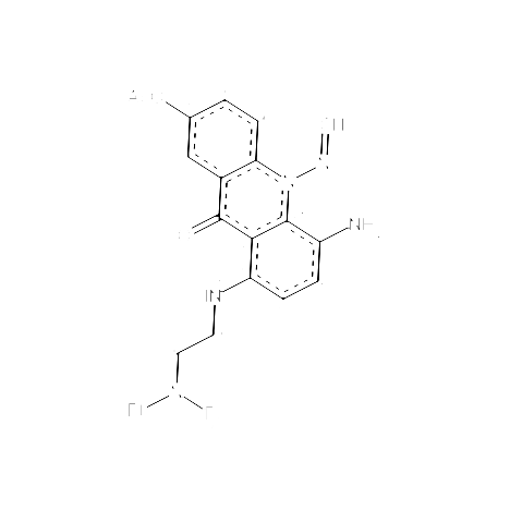 C=Nn1c2ccc(OC(C)=O)cc2c(=O)c2c(NCCN(CC)CC)ccc(N)c21